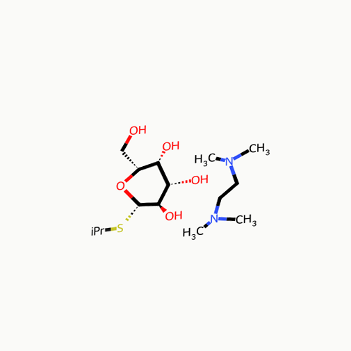 CC(C)S[C@@H]1O[C@H](CO)[C@H](O)[C@H](O)[C@H]1O.CN(C)CCN(C)C